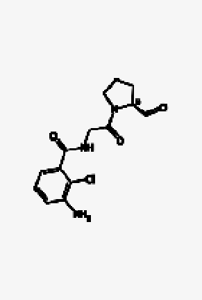 Nc1cccc(C(=O)NCC(=O)N2CCC[C@H]2C=O)c1Cl